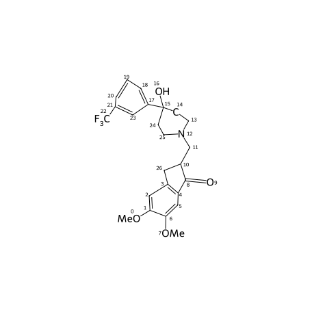 COc1cc2c(cc1OC)C(=O)C(CN1CCC(O)(c3cccc(C(F)(F)F)c3)CC1)C2